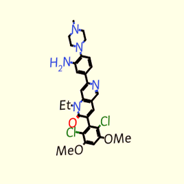 CCn1c(=O)c(-c2c(Cl)c(OC)cc(OC)c2Cl)cc2cnc(-c3ccc(N4CCN(C)CC4)c(N)c3)cc21